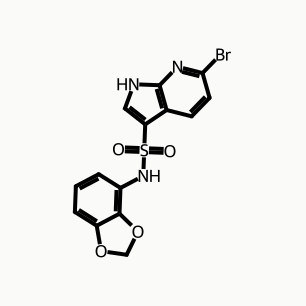 O=S(=O)(Nc1cccc2c1OCO2)c1c[nH]c2nc(Br)ccc12